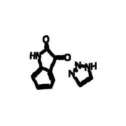 O=C1Nc2ccccc2C1=O.c1c[nH]nn1